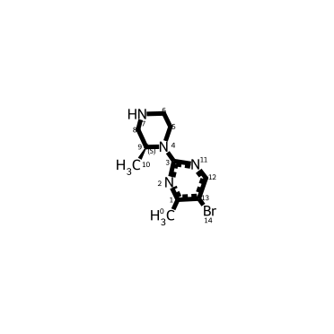 Cc1nc(N2CCNC[C@@H]2C)ncc1Br